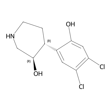 Oc1cc(Cl)c(Cl)cc1[C@H]1CCNC[C@@H]1O